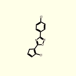 ClC1=C(c2nc(-c3ccc(Cl)cc3)no2)CC=C1